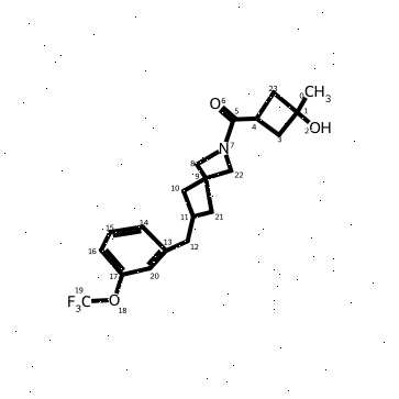 CC1(O)CC(C(=O)N2CC3(CC(Cc4cccc(OC(F)(F)F)c4)C3)C2)C1